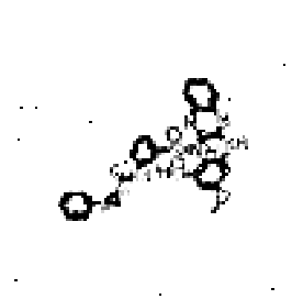 COc1cc(O)cc(Nc2nc3ccccc3nc2NS(=O)(=O)c2cccc(NC(=O)[C@@H]3C[C@H]3c3ccccc3)c2)c1